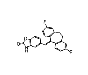 O=c1[nH]c2cc(C=C3c4ccc(F)cc4CCc4cc(F)ccc43)ccc2o1